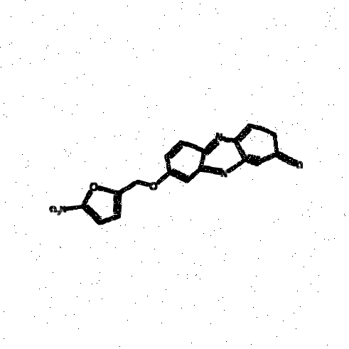 O=C1C=c2nc3cc(OCc4ccc([N+](=O)[O-])o4)ccc3nc2=CC1